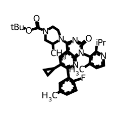 Cc1ccc(F)c(-c2nc3c(cc2C2CC2)c(N2CCN(C(=O)OC(C)(C)C)CC2C)nc(=O)n3-c2c(C)ccnc2C(C)C)c1